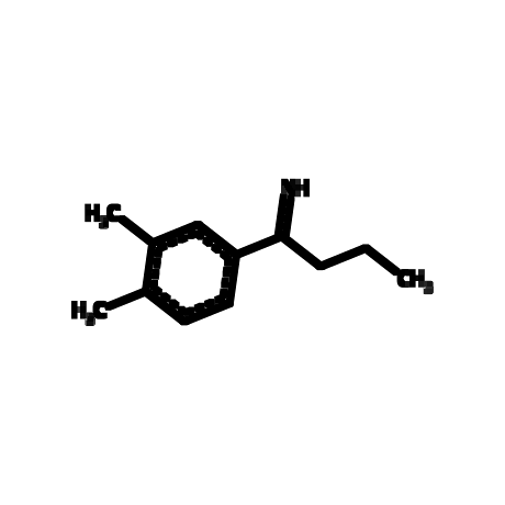 CCCC(=N)c1ccc(C)c(C)c1